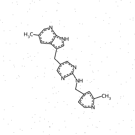 Cc1cnc2[nH]cc(Cc3cnc(NCc4ccnc(C)c4)nc3)c2c1